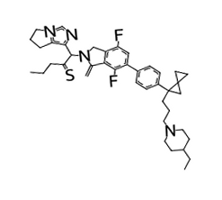 C=C1c2c(F)c(-c3ccc(C4(CCCN5CCC(CC)CC5)CC45CC5)cc3)cc(F)c2CN1C(C(=S)CCC)c1ncn2c1CCC2